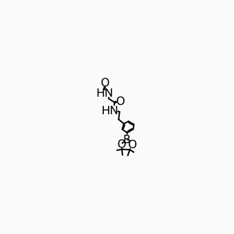 CC1(C)OB(c2cccc(CCNC(=O)CNC=O)c2)OC1(C)C